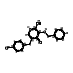 O=c1c(Cc2ccc(Cl)cc2)coc(O)c1OCc1ccccc1